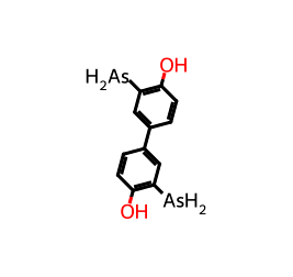 Oc1ccc(-c2ccc(O)c([AsH2])c2)cc1[AsH2]